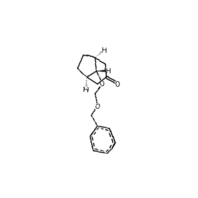 O=C1C[C@H]2CC[C@@H](C1)[C@@H]2OCOCc1ccccc1